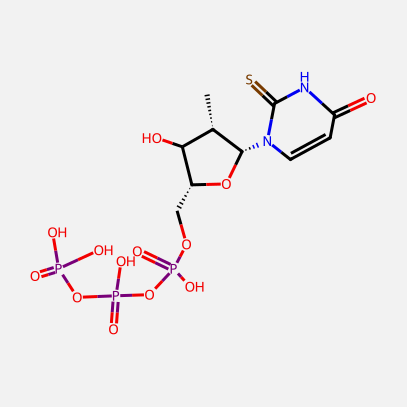 C[C@H]1C(O)[C@@H](COP(=O)(O)OP(=O)(O)OP(=O)(O)O)O[C@H]1n1ccc(=O)[nH]c1=S